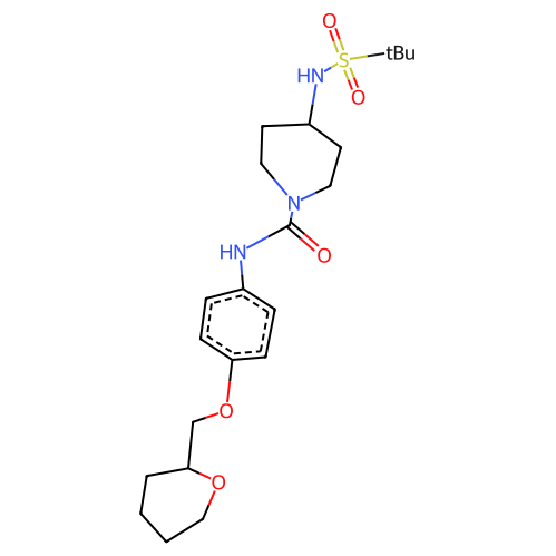 CC(C)(C)S(=O)(=O)NC1CCN(C(=O)Nc2ccc(OCC3CCCCO3)cc2)CC1